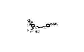 CCNC(=O)c1ccc(OCCCCCOc2ccc(C=NN)cc2)c(OC)c1.Cl